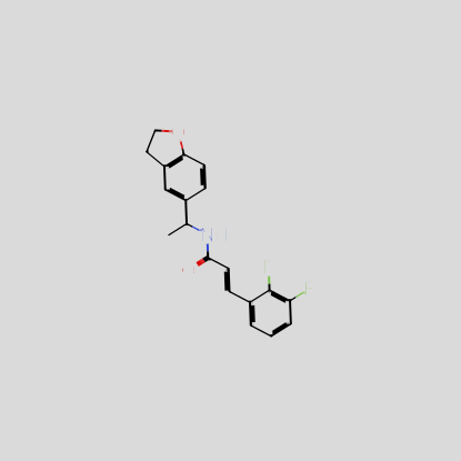 CC(NC(=O)C=Cc1cccc(F)c1F)c1ccc2c(c1)CCO2